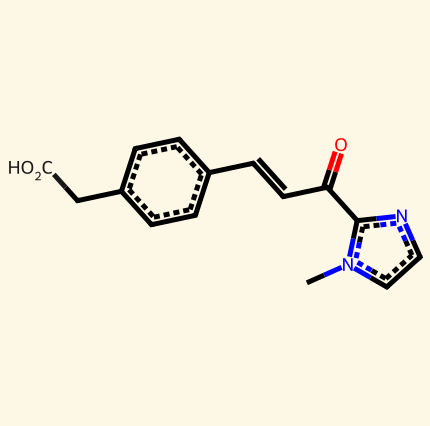 Cn1ccnc1C(=O)C=Cc1ccc(CC(=O)O)cc1